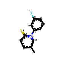 Cc1ccc(=S)n(-c2cccc(F)c2)c1